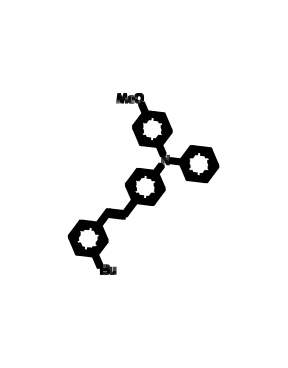 CCC(C)c1cccc(C=Cc2ccc(N(c3ccccc3)c3ccc(OC)cc3)cc2)c1